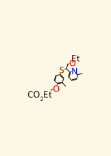 CCOCC(Sc1ccc(OCC(=O)OCC)c(C)c1)c1cccc(C)n1